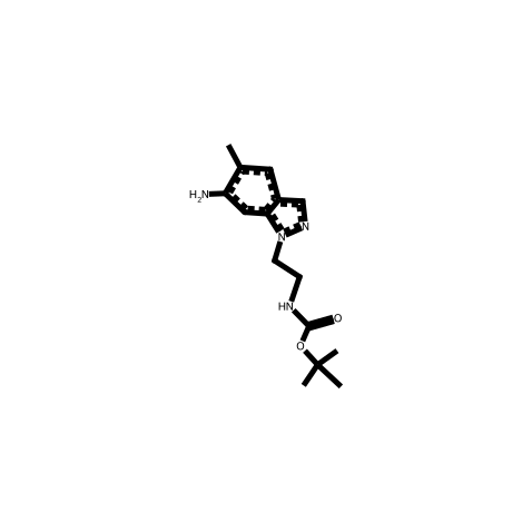 Cc1cc2cnn(CCNC(=O)OC(C)(C)C)c2cc1N